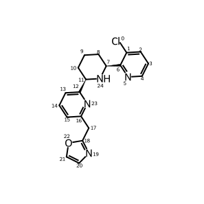 Clc1cccnc1[C@@H]1CCC[C@H](c2cccc(Cc3ncco3)n2)N1